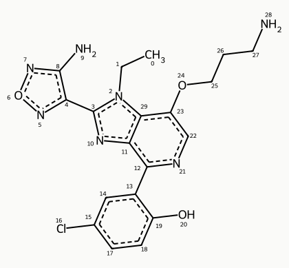 CCn1c(-c2nonc2N)nc2c(-c3cc(Cl)ccc3O)ncc(OCCCN)c21